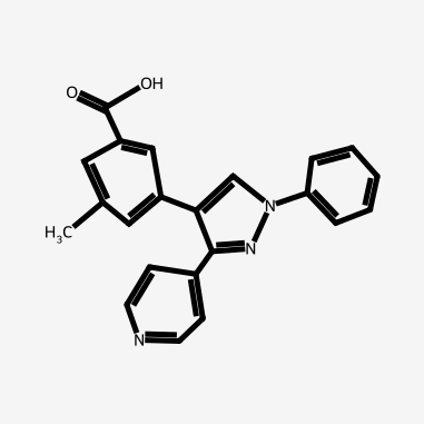 Cc1cc(C(=O)O)cc(-c2cn(-c3ccccc3)nc2-c2ccncc2)c1